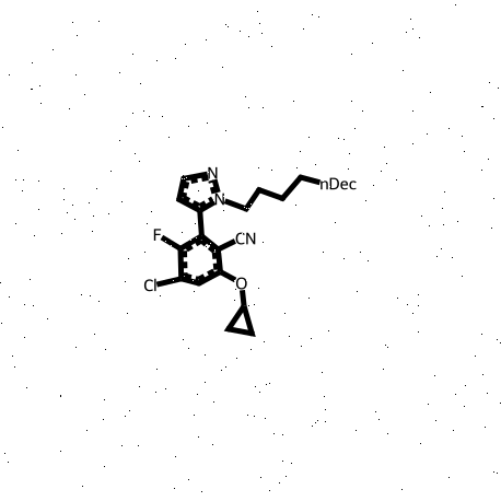 CCCCCCCCCCCCCCn1nccc1-c1c(F)c(Cl)cc(OC2CC2)c1C#N